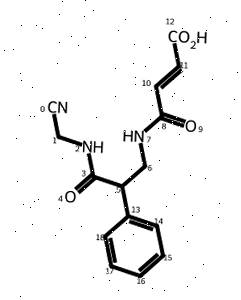 N#CCNC(=O)C(CNC(=O)C=CC(=O)O)c1ccccc1